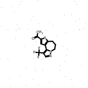 CC(=O)c1cc2c(s1)CCCn1ncc(C(F)(F)F)c1-2